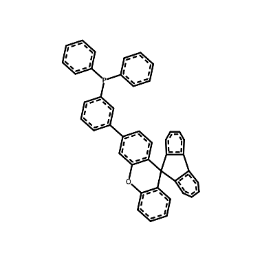 c1ccc(P(c2ccccc2)c2cccc(-c3ccc4c(c3)Oc3ccccc3C43c4ccccc4-c4ccccc43)c2)cc1